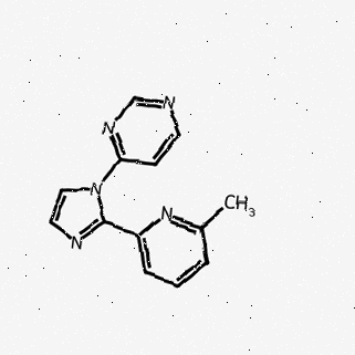 Cc1cccc(-c2nccn2-c2ccncn2)n1